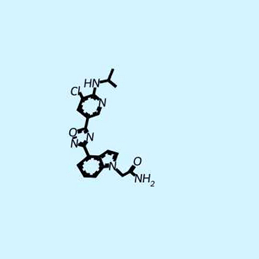 CC(C)Nc1ncc(-c2nc(-c3cccc4c3ccn4CC(N)=O)no2)cc1Cl